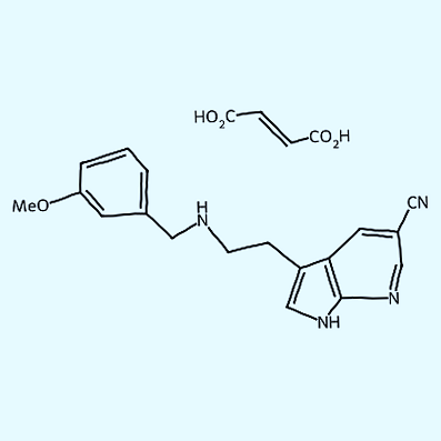 COc1cccc(CNCCc2c[nH]c3ncc(C#N)cc23)c1.O=C(O)/C=C/C(=O)O